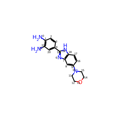 Nc1ccc(-c2nc3cc(N4CCOCC4)ccc3[nH]2)cc1N